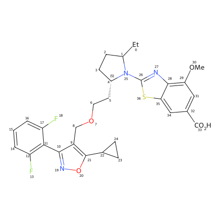 CCC1CC[C@@H](CCOCc2c(-c3c(F)cccc3F)noc2C2CC2)N1c1nc2c(OC)cc(C(=O)O)cc2s1